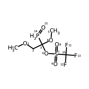 COCC(OC)(OS(=O)(=O)C(F)(F)F)[PH2]=O